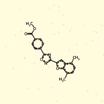 COC(=O)c1ccc(-c2nc(-c3cc4c(C)ccc(C)c4o3)no2)cc1